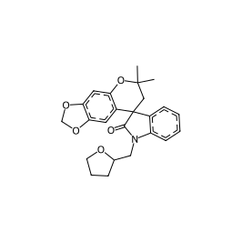 CC1(C)CC2(C(=O)N(CC3CCCO3)c3ccccc32)c2cc3c(cc2O1)OCO3